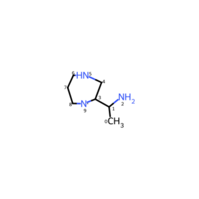 CC(N)C1CNCCC[N]1